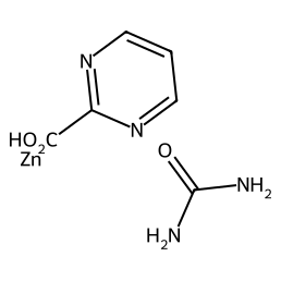 NC(N)=O.O=C(O)c1ncccn1.[Zn]